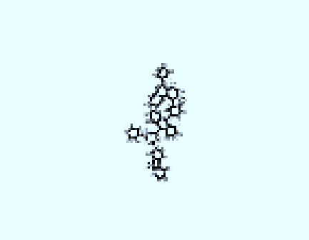 c1ccc(-c2nc(-c3ccc4c(c3)oc3ccccc34)nc(-c3c4ccccc4c(-c4ccc5oc6ccc7c(-c8ccccc8)nc8ccccc8c7c6c5c4)c4ccccc34)n2)cc1